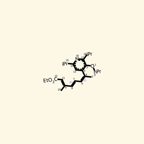 CCCOc1c(/C(C)=C\C=C\C(C)=CC(=O)OCC)cc(C(C)C)nc1C(C)C